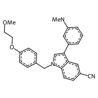 CNc1cccc(-c2cn(Cc3ccc(OCCOC)cc3)c3ccc(C#N)cc23)c1